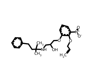 C=CCOc1c(OCC(O)CNC(C)(C)CCc2ccccc2)cccc1[N+](=O)[O-]